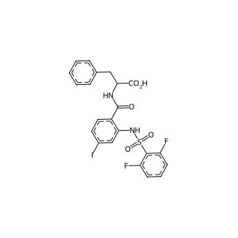 O=C(NC(Cc1ccccc1)C(=O)O)c1ccc(I)cc1NS(=O)(=O)c1c(F)cccc1F